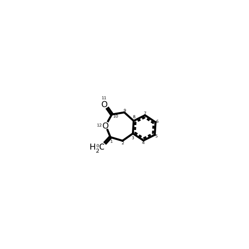 C=C1Cc2ccccc2CC(=O)O1